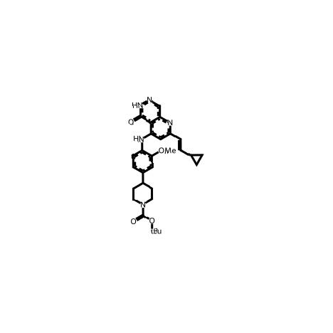 COc1cc(C2CCN(C(=O)OC(C)(C)C)CC2)ccc1Nc1cc(C=CC2CC2)nc2cn[nH]c(=O)c12